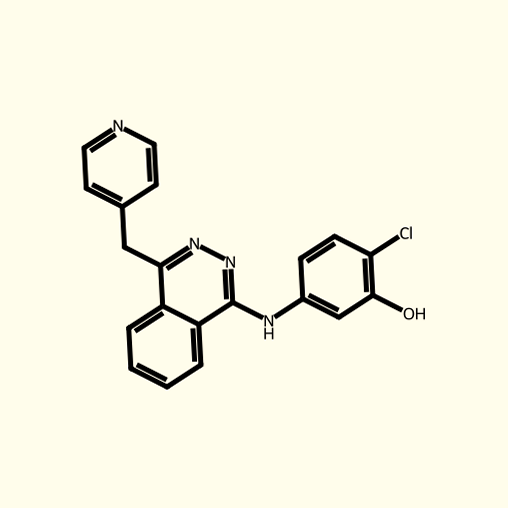 Oc1cc(Nc2nnc(Cc3ccncc3)c3ccccc23)ccc1Cl